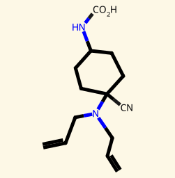 C=CCN(CC=C)C1(C#N)CCC(NC(=O)O)CC1